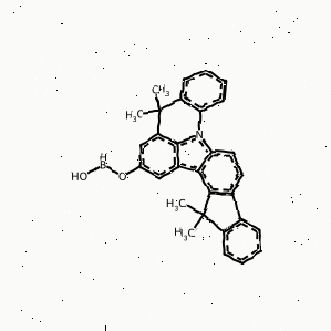 CC1(C)c2ccccc2-c2ccc3c(c21)c1cc(OBO)cc2c1n3-c1ccccc1C2(C)C